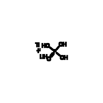 O=P(O)(O)O.[F].[LiH].[Ti]